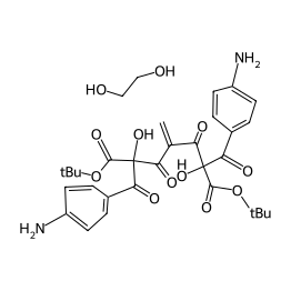 C=C(C(=O)C(O)(C(=O)OC(C)(C)C)C(=O)c1ccc(N)cc1)C(=O)C(O)(C(=O)OC(C)(C)C)C(=O)c1ccc(N)cc1.OCCO